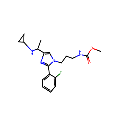 COC(=O)NCCCn1cc(C(C)NC2CC2)nc1-c1ccccc1F